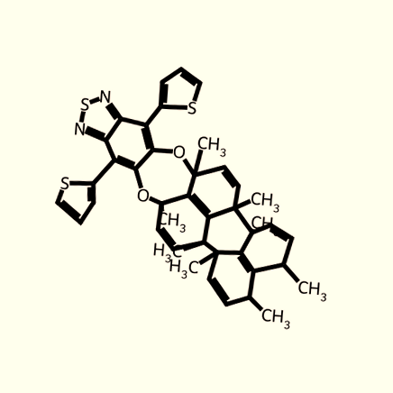 CC1C=CC2(C)C3=C1C(C)C=CC3(C)C1(C)C=CC3(C)Oc4c(c(-c5cccs5)c5nsnc5c4-c4cccs4)OC4(C)C=CC2(C)C1=C43